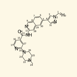 [2H]Cn1cc(-c2ccc3cnc(NC(=O)c4ccnc(N5CCN(C)CC5)c4)cc3c2)cn1